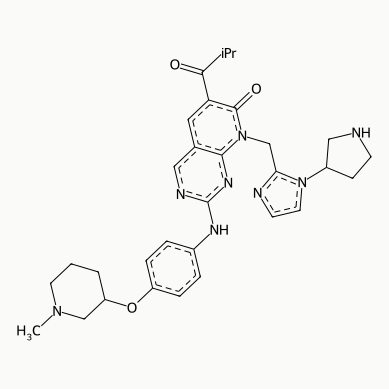 CC(C)C(=O)c1cc2cnc(Nc3ccc(OC4CCCN(C)C4)cc3)nc2n(Cc2nccn2C2CCNC2)c1=O